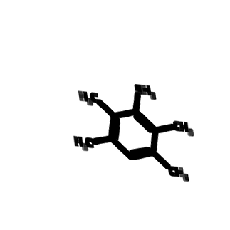 Cc1cc(C)c(C)c([SiH3])c1C